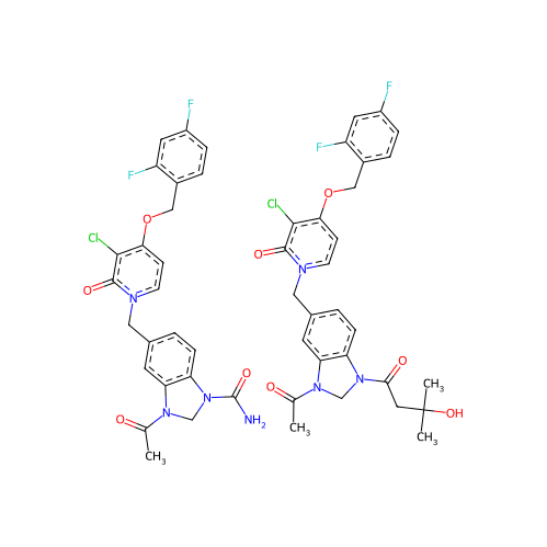 CC(=O)N1CN(C(=O)CC(C)(C)O)c2ccc(Cn3ccc(OCc4ccc(F)cc4F)c(Cl)c3=O)cc21.CC(=O)N1CN(C(N)=O)c2ccc(Cn3ccc(OCc4ccc(F)cc4F)c(Cl)c3=O)cc21